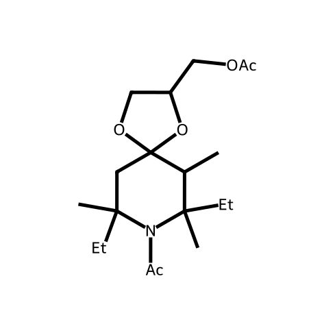 CCC1(C)CC2(OCC(COC(C)=O)O2)C(C)C(C)(CC)N1C(C)=O